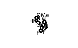 COc1ccc2[nH]cc(CC(=O)NC(Cc3cc(F)cc(F)c3)c3nccnc3-c3ccc(Cl)cc3)c2n1